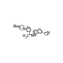 C=C(Nc1cc2cc(C3=CN=CC3)ccc2cn1)c1ccnc(N2CCN(C(C)CC)CC2)c1